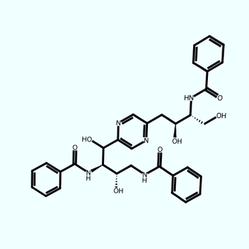 O=C(NC[C@H](O)[C@@H](NC(=O)c1ccccc1)C(O)c1cnc(C[C@H](O)[C@@H](CO)NC(=O)c2ccccc2)cn1)c1ccccc1